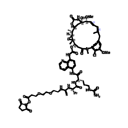 COc1cc2cc(c1Cl)N(C)C(=O)C[C@H](OC(=O)Nc1ccc(NC(=O)[C@H](CCCNC(N)=O)NC(=O)[C@@H](NC(=S)NCCOCCOCCC(=O)ON3C(=O)CCC3=O)C(C)C)c3cccnc13)[C@]1(C)O[C@H]1[C@H](C)[C@@H]1C[C@@](O)(NC(=O)O1)[C@H](OC)/C=C/C=C(\C)C2